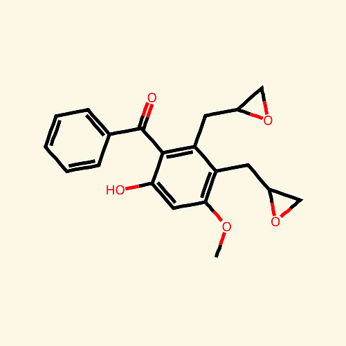 COc1cc(O)c(C(=O)c2ccccc2)c(CC2CO2)c1CC1CO1